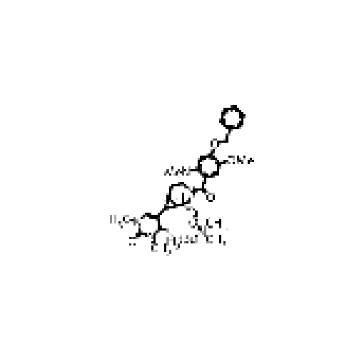 CNc1cc(OCc2ccccc2)c(OC)cc1C(=O)N1CC[C@@H]2C(C3=CN(C)C(=O)N(C)C3C)C2[C@H]1CO[Si](C)(C)C(C)(C)C